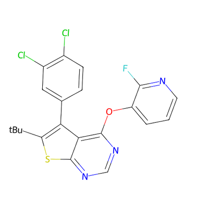 CC(C)(C)c1sc2ncnc(Oc3cccnc3F)c2c1-c1ccc(Cl)c(Cl)c1